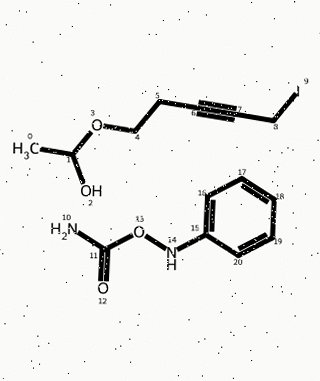 CC(O)OCCC#CCI.NC(=O)ONc1ccccc1